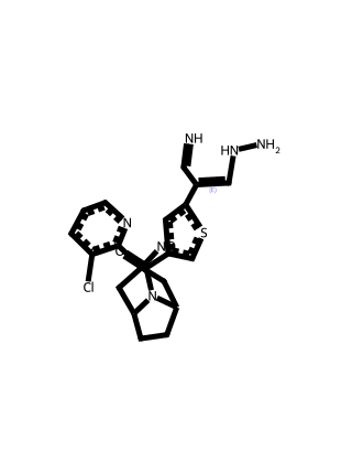 N=C/C(=C\NN)c1cc(C(=O)N2C3CCC2CC(N=O)(c2ncccc2Cl)C3)cs1